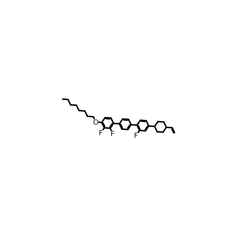 C=CC1CCC(c2ccc(-c3ccc(-c4ccc(OCCCCCCCC)c(F)c4F)cc3)c(F)c2)CC1